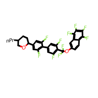 CCCC1CCC(c2cc(F)c(-c3cc(F)c(C(F)(F)Oc4ccc5c(F)c(F)c(F)c(F)c5c4)c(F)c3)c(F)c2)OC1